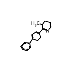 CC1CC=CN=C1C1=CC=C(c2ccccc2)CC1